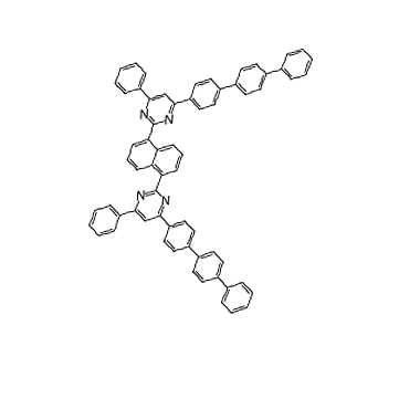 c1ccc(-c2ccc(-c3ccc(-c4cc(-c5ccccc5)nc(-c5cccc6c(-c7nc(-c8ccccc8)cc(-c8ccc(-c9ccc(-c%10ccccc%10)cc9)cc8)n7)cccc56)n4)cc3)cc2)cc1